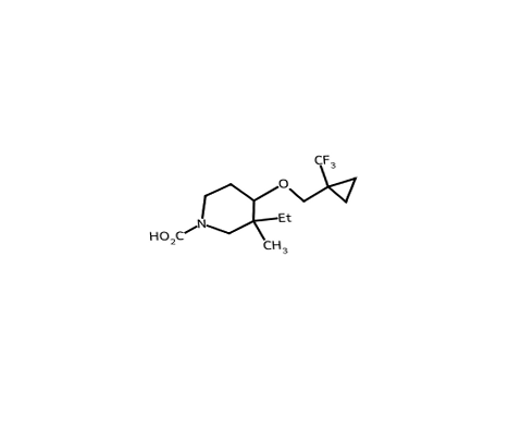 CCC1(C)CN(C(=O)O)CCC1OCC1(C(F)(F)F)CC1